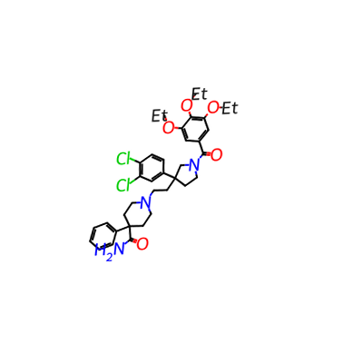 CCOc1cc(C(=O)N2CCC(CCN3CCC(C(N)=O)(c4ccccc4)CC3)(c3ccc(Cl)c(Cl)c3)C2)cc(OCC)c1OCC